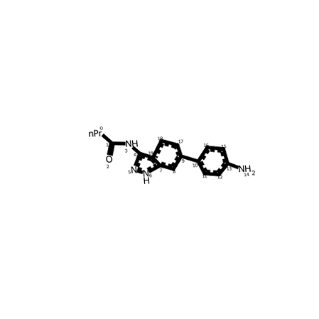 CCCC(=O)Nc1n[nH]c2cc(-c3ccc(N)cc3)ccc12